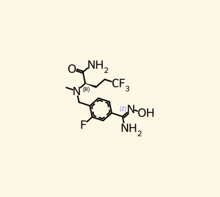 CN(Cc1ccc(/C(N)=N/O)cc1F)[C@H](CCC(F)(F)F)C(N)=O